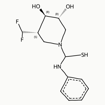 O[C@H]1[C@H](O)CN(C(S)Nc2ccccc2)C[C@@H]1C(F)F